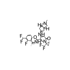 C[C@@H](NC(=O)c1cn(C2(C(F)F)CC2)c(=O)cc1N[C@@H]1C[C@@H]2CN(C)C[C@@H]2C1)c1cccc(C(F)F)c1F